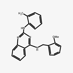 COc1ccccc1CNc1nc(Nc2ccccc2C)nc2ccccc12